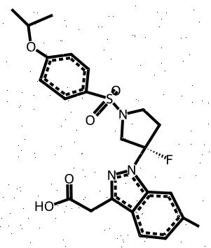 Cc1ccc2c(CC(=O)O)nn([C@]3(F)CCN(S(=O)(=O)c4ccc(OC(C)C)cc4)C3)c2c1